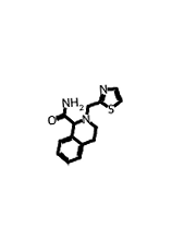 NC(=O)C1c2cc[c]cc2CCN1Cc1nccs1